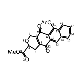 COC(=O)C1CC2=C(CO1)C(=O)c1c(cc3ccccc3c1OC(C)=O)C2=O